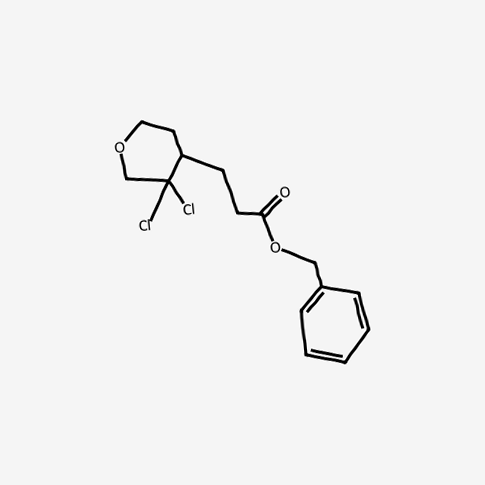 O=C(CCC1CCOCC1(Cl)Cl)OCc1ccccc1